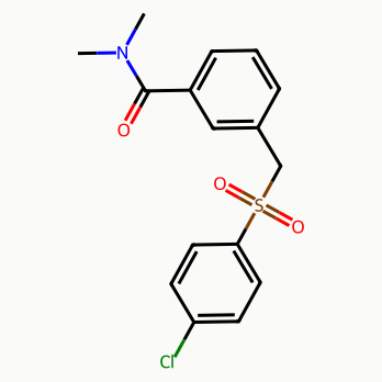 CN(C)C(=O)c1cccc(CS(=O)(=O)c2ccc(Cl)cc2)c1